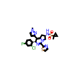 Cn1ccc(C2=C3C[C@H](NS(=O)(=O)C4(C)CC4)CN3C(c3nccs3)=N[C@H]2c2ccc(F)cc2Cl)n1